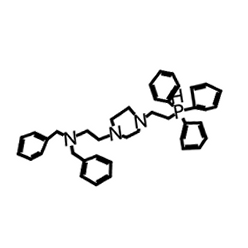 c1ccc(CN(CCN2CCN(CC[PH](c3ccccc3)(c3ccccc3)c3ccccc3)CC2)Cc2ccccc2)cc1